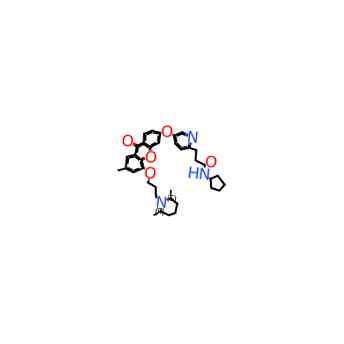 Cc1cc(OCCCN2[C@H](C)CCC[C@@H]2C)c2oc3cc(Oc4ccc(CCC(=O)NC5CCCC5)nc4)ccc3c(=O)c2c1